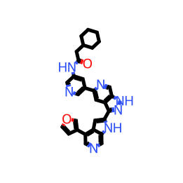 O=C(CC1CCCCC1)Nc1cncc(-c2cc3c(-c4cc5c(-c6ccoc6)cncc5[nH]4)n[nH]c3cn2)c1